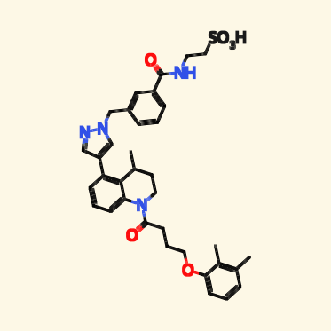 Cc1cccc(OCCCC(=O)N2CCC(C)c3c(-c4cnn(Cc5cccc(C(=O)NCCS(=O)(=O)O)c5)c4)cccc32)c1C